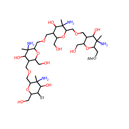 CCC1C(CO)OC(COCC2C(CO)OC(COCC3C(CO)OC(COCC4C(CO)OC(COC)C(C)(N)C4O)C(C)(N)C3O)C(C)(N)C2O)C(C)(N)C1O